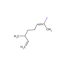 C=CC(C)CC/C=C(\C)I